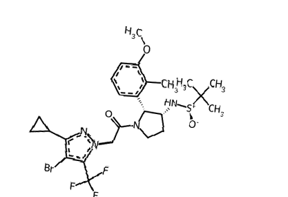 COc1cccc([C@@H]2[C@H](N[S@+]([O-])C(C)(C)C)CCN2C(=O)Cn2nc(C3CC3)c(Br)c2C(F)(F)F)c1C